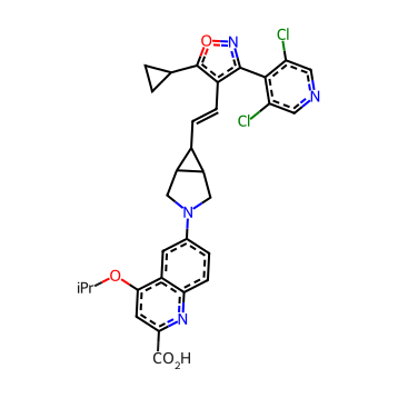 CC(C)Oc1cc(C(=O)O)nc2ccc(N3CC4C(/C=C/c5c(-c6c(Cl)cncc6Cl)noc5C5CC5)C4C3)cc12